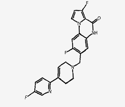 O=c1[nH]c2cc(CN3CC=C(c4ccc(F)cn4)CC3)c(F)cc2n2ccc(F)c12